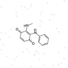 CNC1=C(Nc2ccccc2)C(=O)C=CC1=O